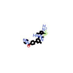 CC1=NC2C(C)C=C(C3CCC(C(=O)N4CCN(C)CC4)CC3)CC2C(NC(C)C2=CC(N)C(C(F)(F)F)=C2)=N1